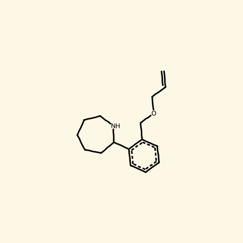 C=CCOCc1ccccc1C1CCCCCN1